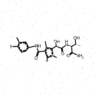 Cc1cc(NC(=O)c2c(C)c(C(O)C(=O)N[C@H](C(N)=O)[C@@H](C)O)n(C)c2C)ccc1F